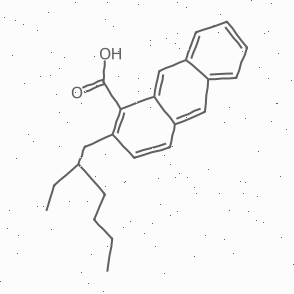 CCCCC(CC)Cc1ccc2cc3ccccc3cc2c1C(=O)O